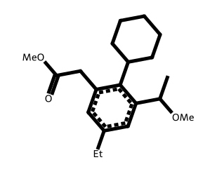 CCc1cc(CC(=O)OC)c(C2CCCCC2)c(C(C)OC)c1